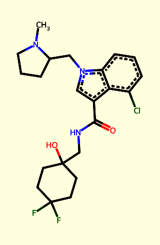 CN1CCCC1Cn1cc(C(=O)NCC2(O)CCC(F)(F)CC2)c2c(Cl)cccc21